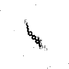 CCOc1ccc(-c2ccc(C3CCC(CCC=CCCF)CC3)cc2)c(F)c1F